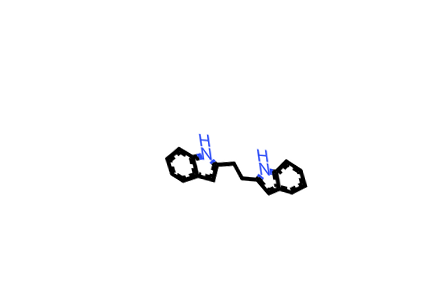 c1ccc2[nH]c(CCc3cc4ccccc4[nH]3)cc2c1